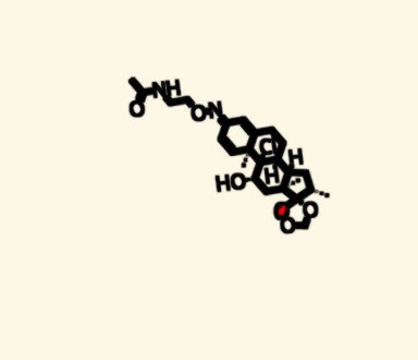 CC(=O)NCCO/N=C1\C=C[C@@]2(C)C(=C1)CC[C@H]1[C@@H]3C[C@H](C)[C@@]4(OCOC45COCO5)[C@@]3(C)C[C@H](O)[C@@]12Cl